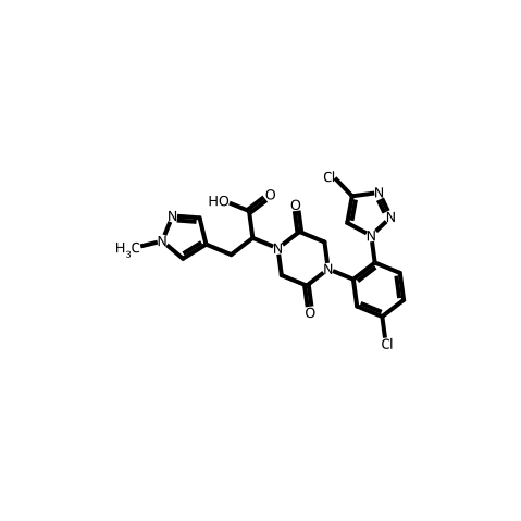 Cn1cc(CC(C(=O)O)N2CC(=O)N(c3cc(Cl)ccc3-n3cc(Cl)nn3)CC2=O)cn1